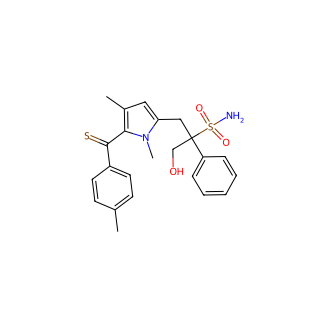 Cc1ccc(C(=S)c2c(C)cc(CC(CO)(c3ccccc3)S(N)(=O)=O)n2C)cc1